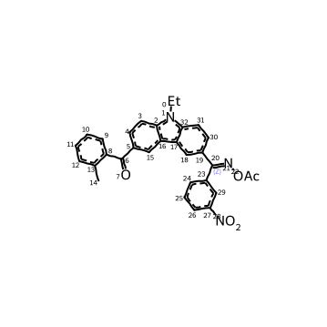 CCn1c2ccc(C(=O)c3ccccc3C)cc2c2cc(/C(=N/OC(C)=O)c3cccc([N+](=O)[O-])c3)ccc21